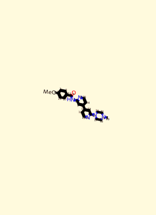 COc1ccc(C(=O)Nc2cc(-c3ccnc(N4CCN(C)CC4)c3)ccn2)cc1